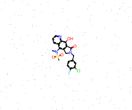 CN(c1c2c(c(O)c3ncccc13)C(=O)N(Cc1ccc(F)c(Cl)c1)C2)S(C)(=O)=O